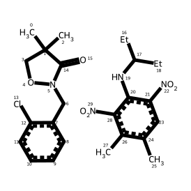 CC1(C)CON(Cc2ccccc2Cl)C1=O.CCC(CC)Nc1c([N+](=O)[O-])cc(C)c(C)c1[N+](=O)[O-]